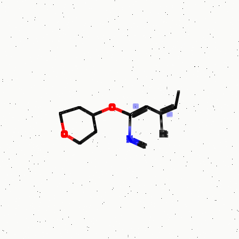 C=N/C(=C\C(=C/C)CC)OC1CCOCC1